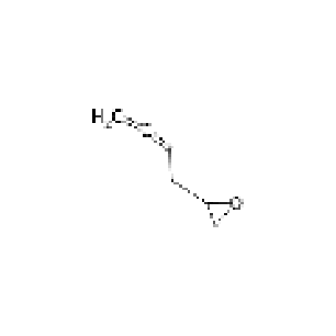 C=C=CCC1CO1